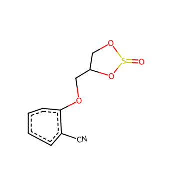 N#Cc1ccccc1OCC1COS(=O)O1